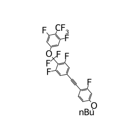 CCCCOc1ccc(C#Cc2cc(F)c(C(F)(F)Oc3cc(F)c(C(F)(F)F)c(F)c3)c(F)c2)c(F)c1